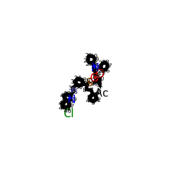 CC(=O)c1ccccc1CCC(SCC1(OC(=O)CN(C2CCCCC2)C2CCCCC2)CC1)c1cccc(/C=C/c2ccc3ccc(Cl)cc3n2)c1